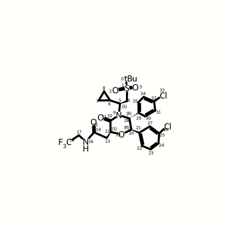 CC(C)(C)S(=O)(=O)C[C@H](C1CC1)N1C(=O)[C@H](CC(=O)NCC(F)(F)F)O[C@H](c2cccc(Cl)c2)[C@H]1c1ccc(Cl)cc1